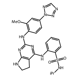 COc1cc(-n2ncnn2)ccc1Nc1nc2c(c(Nc3ccccc3S(=O)(=O)NC(C)C)n1)CCN2